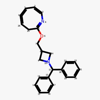 C1=C/C=C\N=C(\OCC2CN(C(c3ccccc3)c3ccccc3)C2)CC=1